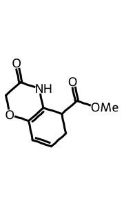 COC(=O)C1CC=CC2=C1NC(=O)CO2